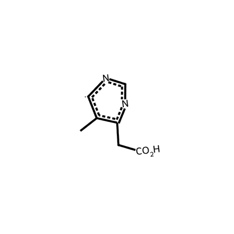 Cc1[c]ncnc1CC(=O)O